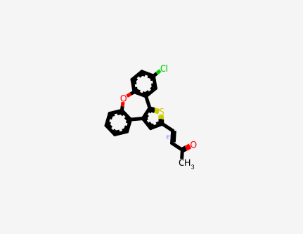 CC(=O)/C=C/c1cc2c(s1)-c1cc(Cl)ccc1Oc1ccccc1-2